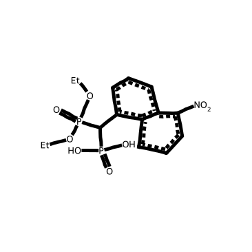 CCOP(=O)(OCC)C(c1cccc2c([N+](=O)[O-])cccc12)P(=O)(O)O